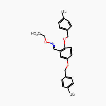 CC(C)(C)c1ccc(COc2ccc(OCc3ccc(C(C)(C)C)cc3)c(/C=N/OCC(=O)O)c2)cc1